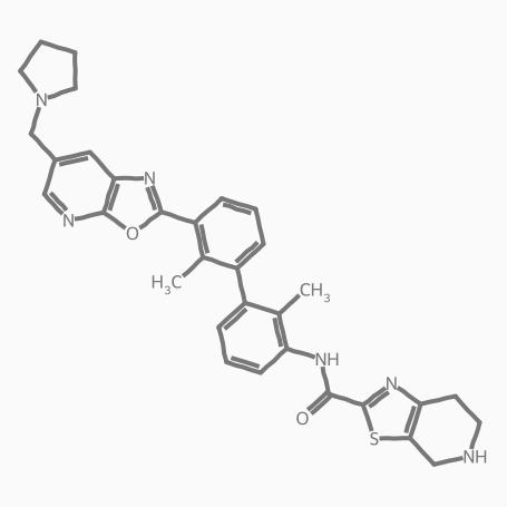 Cc1c(NC(=O)c2nc3c(s2)CNCC3)cccc1-c1cccc(-c2nc3cc(CN4CCCC4)cnc3o2)c1C